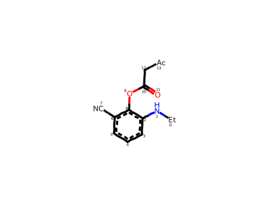 CCNc1cccc(C#N)c1OC(=O)CC(C)=O